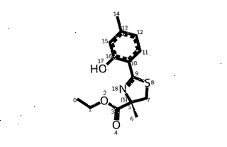 CCOC(=O)[C@@]1(C)CSC(c2ccc(C)cc2O)=N1